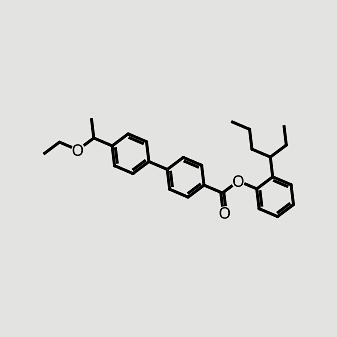 CCCC(CC)c1ccccc1OC(=O)c1ccc(-c2ccc(C(C)OCC)cc2)cc1